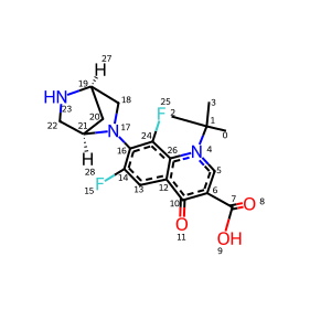 CC(C)(C)n1cc(C(=O)O)c(=O)c2cc(F)c(N3C[C@H]4C[C@@H]3CN4)c(F)c21